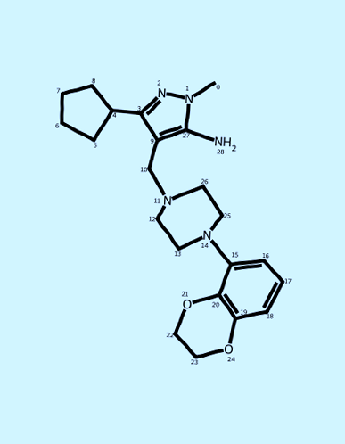 Cn1nc(C2CCCC2)c(CN2CCN(c3cccc4c3OCCO4)CC2)c1N